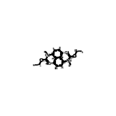 CCOC(=O)N(C)c1cccc2c(N(C)C(=O)OCC)cccc12